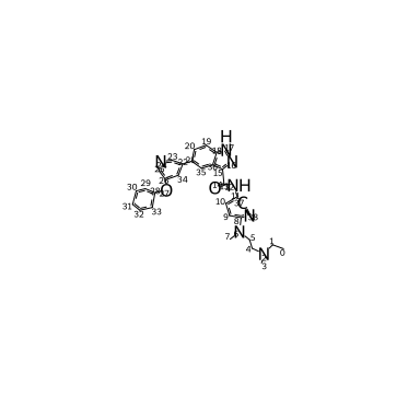 CCN(C)CCN(C)c1ccc(NC(=O)c2n[nH]c3ccc(-c4cncc(Oc5ccccc5)c4)cc23)cn1